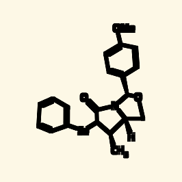 COc1ccc([C@H]2OC[C@@H]3[C@@H](C)C([Se]c4ccccc4)C(=O)N23)cc1